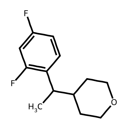 CC(c1ccc(F)cc1F)C1CCOCC1